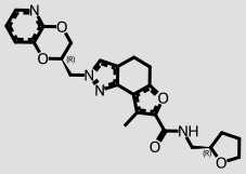 Cc1c(C(=O)NC[C@H]2CCCO2)oc2c1-c1nn(C[C@@H]3COc4ncccc4O3)cc1CC2